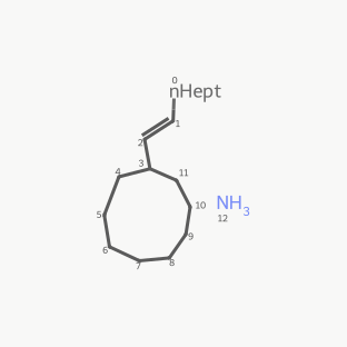 CCCCCCCC=CC1CCCCCCCC1.N